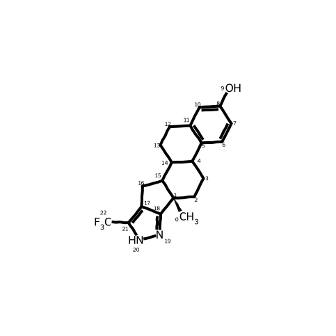 C[C@]12CCC3c4ccc(O)cc4CCC3C1Cc1c2n[nH]c1C(F)(F)F